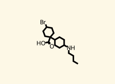 CCCCNC1CCC(C2(C(=O)O)CCC(Br)CC2)CC1